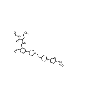 CCCC(NCc1cc(N2CCN(CCC3CCN(c4ccc(NC=O)nc4)CC3)CC2)ccc1C=O)C(=O)NC=O